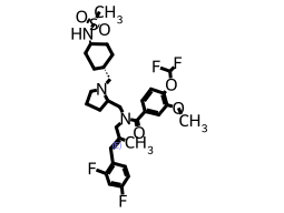 COc1cc(C(=O)N(C/C(C)=C/c2ccc(F)cc2F)CC2CCCN2C[C@H]2CC[C@@H](NS(C)(=O)=O)CC2)ccc1OC(F)F